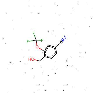 N#Cc1ccc(CO)c(OC(F)(F)F)c1